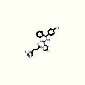 CC(C)c1ccc([C@@H](NC(=O)[C@@H]2C[C@@H](F)CN2C(=O)CCc2cnc[nH]2)c2ccccc2)cc1